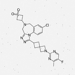 Cc1nc(N2CC3(CC(c4nnc5n4-c4ccc(Cl)cc4CN(C4CS(=O)(=O)C4)C5)C3)C2)ncc1F